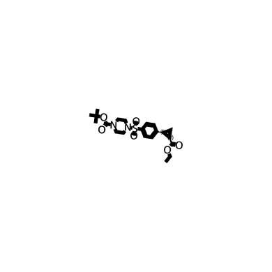 CCOC(=O)[C@@H]1C[C@H]1c1ccc(S(=O)(=O)N2CCN(C(=O)OC(C)(C)C)CC2)cc1